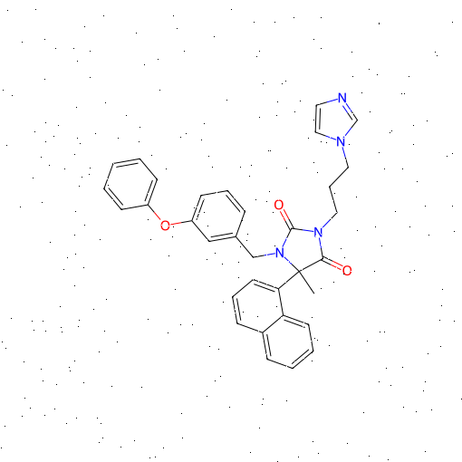 CC1(c2cccc3ccccc23)C(=O)N(CCCn2ccnc2)C(=O)N1Cc1cccc(Oc2ccccc2)c1